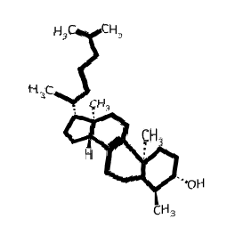 CC(C)CCCC(C)[C@H]1CC[C@H]2C3=C(CC[C@]12C)[C@@]1(C)CC[C@H](O)[C@@H](C)C1CC3